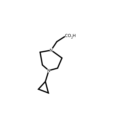 O=C(O)CN1CCN(C2CC2)CC1